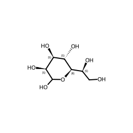 OC[C@H](O)[C@H]1OC(O)[C@@H](O)[C@@H](O)[C@@H]1O